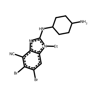 CCn1c(NC2CCC(N)CC2)nc2c(C#N)c(Br)c(Br)cc21